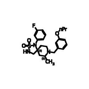 CCCOc1cccc(CN2CC[C@]3(CNS(=O)(=O)N3c3cccc(F)c3)C[C@@H]2C)c1